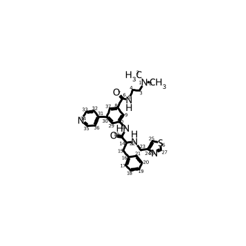 CN(C)CCNC(=O)c1cc(NC(=O)C(Cc2ccccc2)NCc2cscn2)cc(-c2ccncc2)c1